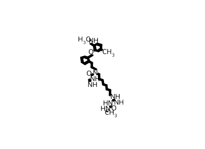 CNCc1ccc(C)cc1OCc1ccccc1CCCN(CCCCCCCCNC(=N)NC(=O)NC)C(=O)NC=N